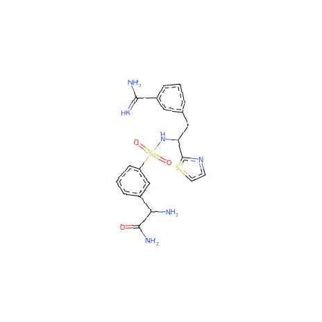 N=C(N)c1cccc(CC(NS(=O)(=O)c2cccc(C(N)C(N)=O)c2)c2nccs2)c1